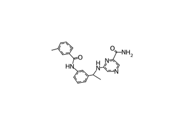 Cc1cccc(C(=O)Nc2cccc(C(C)Nc3cncc(C(N)=O)n3)c2)c1